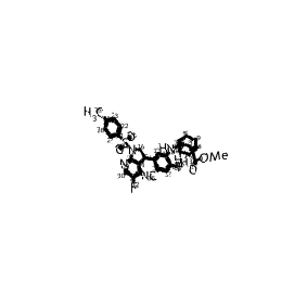 COC(=O)[C@@H]1C2CCC(CC2)[C@H]1Nc1cc(C2CN(S(=O)(=O)c3ccc(C)cc3)c3ncc(F)cc32)c(C#N)cc1F